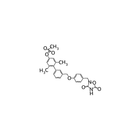 Cc1cc(OS(C)(=O)=O)cc(C)c1-c1cccc(COc2ccc(Cn3oc(=O)[nH]c3=O)cc2)c1